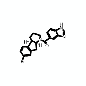 O=C(c1ccc2[nH]cnc2c1)N1CCC[C@@H]2c3ccc(Br)cc3C[C@@H]21